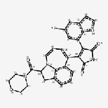 O=C1NC(=O)C(c2cc(F)cc3ccoc23)=C1C1=NC=CN2c3c(cccc31)CC2C(=O)N1CCOCC1